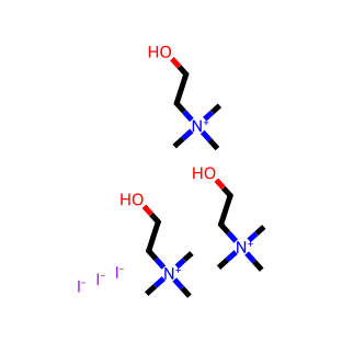 C[N+](C)(C)CCO.C[N+](C)(C)CCO.C[N+](C)(C)CCO.[I-].[I-].[I-]